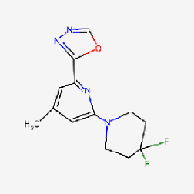 Cc1cc(-c2nnco2)nc(N2CCC(F)(F)CC2)c1